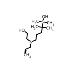 C=CCN(CCO)CCCC(C)(C)[Si](C)(C)O